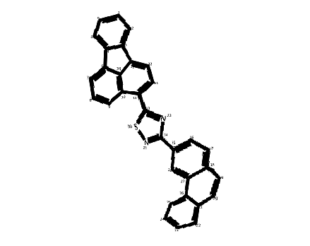 c1ccc2c(c1)-c1cccc3c(-c4nc(-c5ccc6ccc7ccccc7c6c5)ns4)ccc-2c13